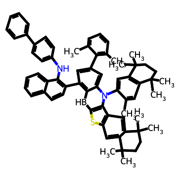 Cc1cc2c(cc1N1c3cc(-c4c(C)cccc4C)cc(-c4ccc5ccccc5c4Nc4ccc(-c5ccccc5)cc4)c3Bc3sc4cc5c(cc4c31)C(C)(C)CCC5(C)C)C(C)(C)CCC2(C)C